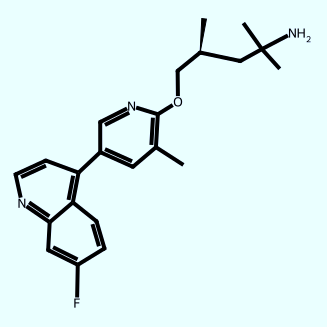 Cc1cc(-c2ccnc3cc(F)ccc23)cnc1OC[C@@H](C)CC(C)(C)N